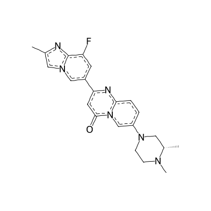 Cc1cn2cc(-c3cc(=O)n4cc(N5CCN(C)[C@@H](C)C5)ccc4n3)cc(F)c2n1